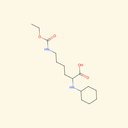 CCOC(=O)NCCCCC(NC1CCCCC1)C(=O)O